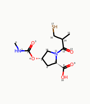 CNC(=O)O[C@H]1C[C@@H](C(=O)O)N(C(=O)C(C)CS)C1